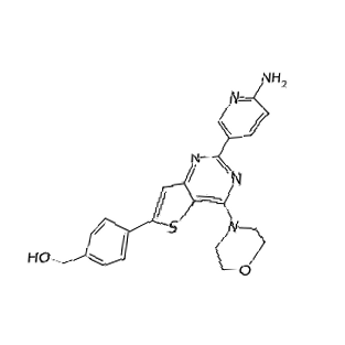 Nc1ccc(-c2nc(N3CCOCC3)c3sc(-c4ccc(CO)cc4)cc3n2)cn1